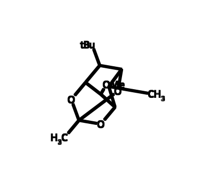 COC1C2OC3(C)OC(C2C)C(C(C)(C)C)C1O3